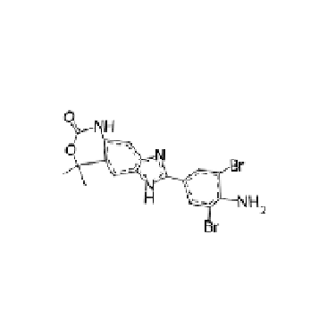 CC1(C)OC(=O)Nc2cc3nc(-c4cc(Br)c(N)c(Br)c4)[nH]c3cc21